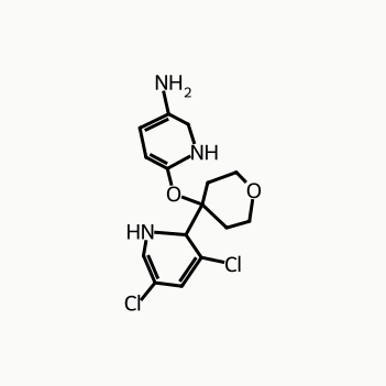 NC1=CC=C(OC2(C3NC=C(Cl)C=C3Cl)CCOCC2)NC1